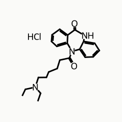 CCN(CC)CCCCCC(=O)N1c2ccccc2NC(=O)c2ccccc21.Cl